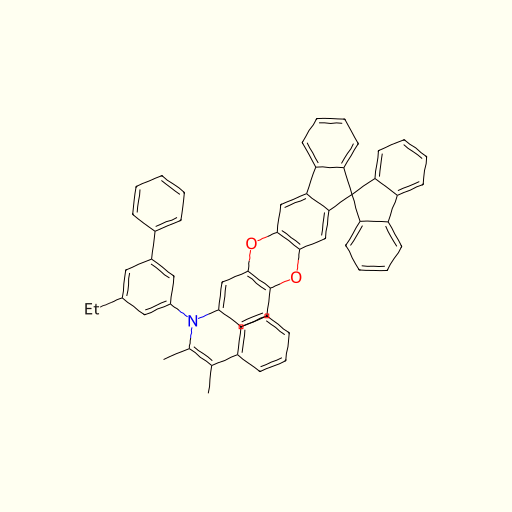 CCc1cc(-c2ccccc2)cc(N(/C(C)=C(/C)c2ccccc2)c2ccc3c(c2)Oc2cc4c(cc2O3)C2(c3ccccc3-c3ccccc32)c2ccccc2-4)c1